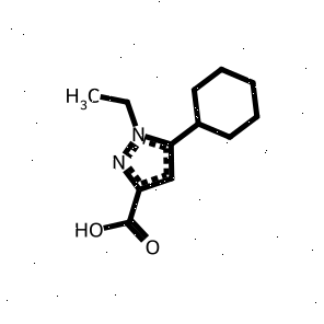 CCn1nc(C(=O)O)cc1C1CCCCC1